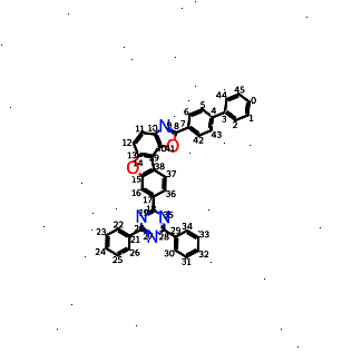 c1ccc(-c2ccc(-c3nc4ccc5oc6cc(-c7nc(-c8ccccc8)nc(-c8ccccc8)n7)ccc6c5c4o3)cc2)cc1